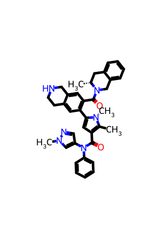 Cc1c(C(=O)N(c2ccccc2)c2cnn(C)c2)cc(-c2cc3c(cc2C(=O)N2Cc4ccccc4C[C@H]2C)CNCC3)n1C